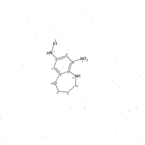 CCNc1cc2c(c([N+](=O)[O-])c1)NCCCO2